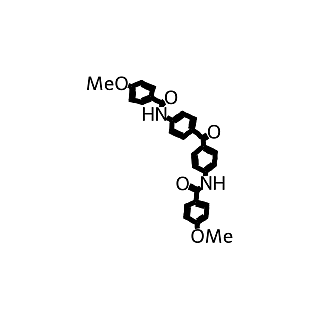 COc1ccc(C(=O)Nc2ccc(C(=O)c3ccc(NC(=O)c4ccc(OC)cc4)cc3)cc2)cc1